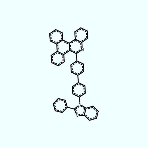 c1ccc(-c2nc3ccccc3n2-c2ccc(-c3ccc(-c4nc5ccccc5c5c6ccccc6c6ccccc6c45)cc3)cc2)cc1